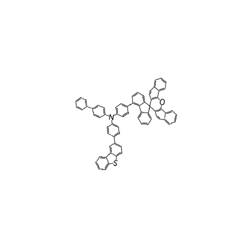 c1ccc(-c2ccc(N(c3ccc(-c4ccc5sc6ccccc6c5c4)cc3)c3ccc(-c4cccc5c4-c4ccccc4C54c5ccc6ccccc6c5Oc5c4ccc4ccccc54)cc3)cc2)cc1